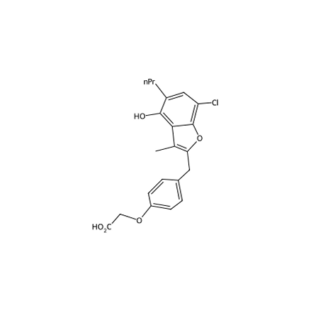 CCCc1cc(Cl)c2oc(Cc3ccc(OCC(=O)O)cc3)c(C)c2c1O